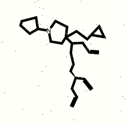 C=CCC(CCC[C@@H](C=C)CC=C)C1(CCC2CC2)CCN(C2CCCC2)CC1